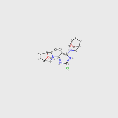 O=Cc1c(N2CC3CCC(C2)O3)nc(Cl)nc1N1CC2CCC(C1)O2